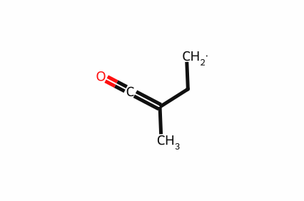 [CH2]CC(C)=C=O